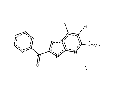 CCc1c(OC)nc2nc(C(=O)c3ccccn3)cn2c1C